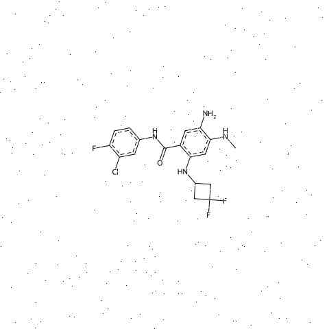 CNc1cc(NC2CC(F)(F)C2)c(C(=O)Nc2ccc(F)c(Cl)c2)cc1N